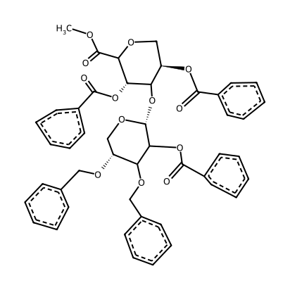 COC(=O)C1OC[C@@H](OC(=O)c2ccccc2)C(O[C@H]2OC[C@@H](OCc3ccccc3)C(OCc3ccccc3)C2OC(=O)c2ccccc2)[C@@H]1OC(=O)c1ccccc1